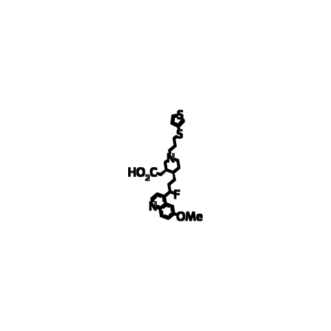 COc1ccc2nccc(C(F)CC[C@@H]3CCN(CCCSc4ccsc4)C[C@@H]3CC(=O)O)c2c1